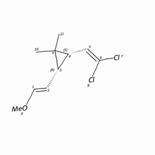 COC=C[C@H]1[C@@H](C=C(Cl)Cl)C1(C)C